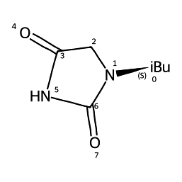 CC[C@H](C)N1CC(=O)NC1=O